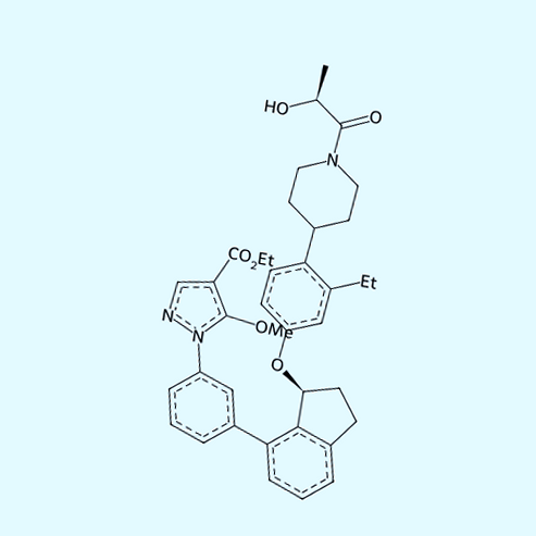 CCOC(=O)c1cnn(-c2cccc(-c3cccc4c3[C@@H](Oc3ccc(C5CCN(C(=O)[C@H](C)O)CC5)c(CC)c3)CC4)c2)c1OC